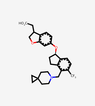 O=C(O)CC1COc2cc(O[C@@H]3CCc4c3ccc(C(F)(F)F)c4CN3CCC4(CC3)CC4)ccc21